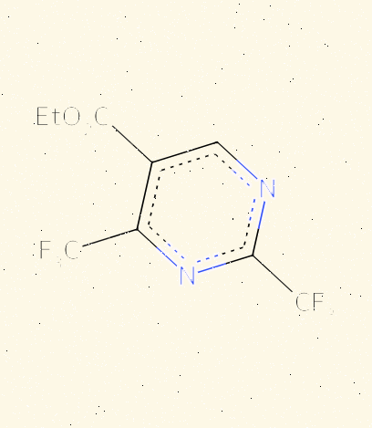 CCOC(=O)c1cnc(C(F)(F)F)nc1C(F)(F)F